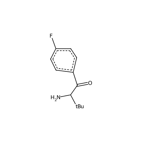 CC(C)(C)C(N)C(=O)c1ccc(F)cc1